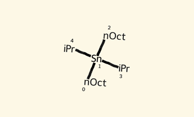 CCCCCCC[CH2][Sn]([CH2]CCCCCCC)([CH](C)C)[CH](C)C